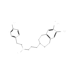 COc1ccc(CCN(C)CCCC2CCc3cc(OC)c(OC)cc3CC2)cc1